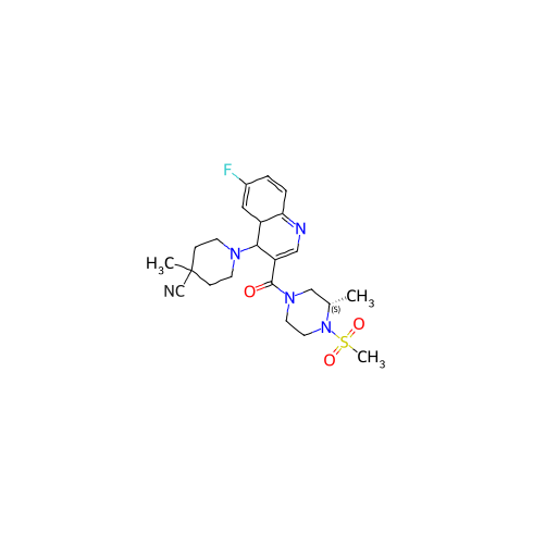 C[C@H]1CN(C(=O)C2=CN=C3C=CC(F)=CC3C2N2CCC(C)(C#N)CC2)CCN1S(C)(=O)=O